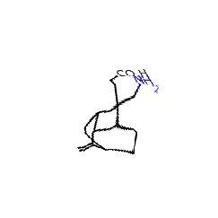 C=C1C2CCC3C1C(C2)C3(CN)CC(=O)O